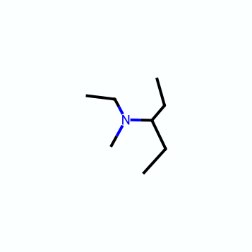 CCC(CC)N(C)CC